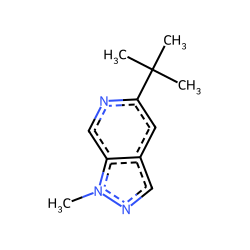 Cn1ncc2cc(C(C)(C)C)ncc21